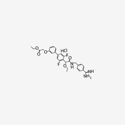 CCOC(=O)COc1cccc(-c2cc(F)c(C(OCC)C(=O)NCc3ccc(C(=N)N)cc3)c(F)c2)c1.Cl